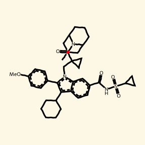 COc1ccc(-c2c(C3CCCCC3)c3ccc(C(=O)NS(=O)(=O)C4CC4)cc3n2CC2(C(=O)N3C4CCCC3CN(C)C4)CC2)cc1